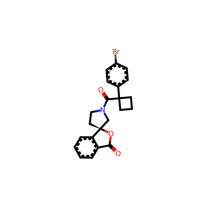 O=C1O[C@]2(CCN(C(=O)C3(c4ccc(Br)cc4)CCC3)C2)c2ccccc21